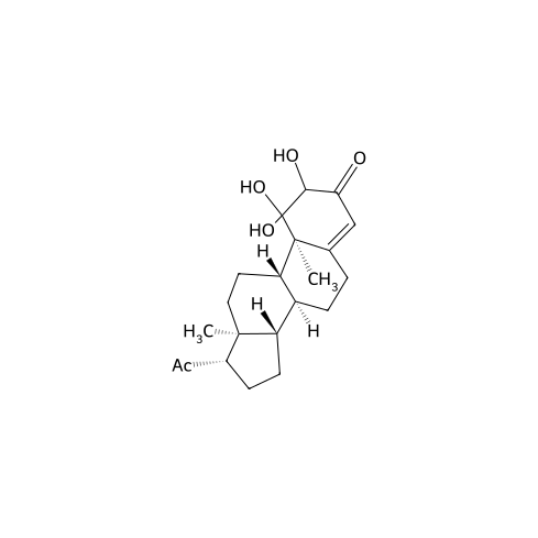 CC(=O)[C@H]1CC[C@H]2[C@@H]3CCC4=CC(=O)C(O)C(O)(O)[C@]4(C)[C@H]3CC[C@]12C